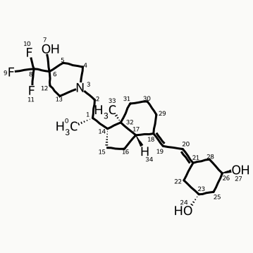 C[C@H](CN1CCC(O)(C(F)(F)F)CC1)[C@H]1CC[C@H]2/C(=C/C=C3C[C@@H](O)C[C@H](O)C3)CCC[C@]12C